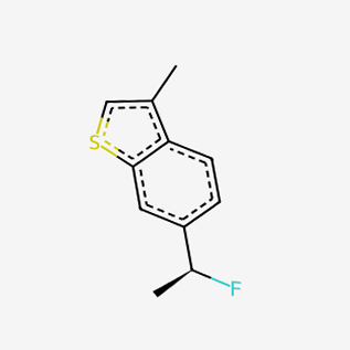 Cc1csc2cc([C@H](C)F)ccc12